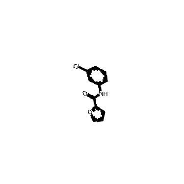 O=C(Nc1cccc(Cl)c1)c1ccco1